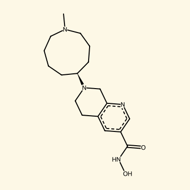 CN1CCCC[C@H](N2CCc3cc(C(=O)NO)cnc3C2)CCC1